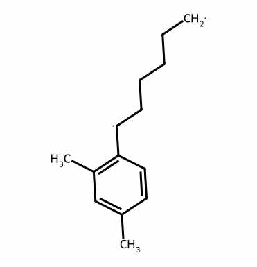 [CH2]CCCC[CH]c1ccc(C)cc1C